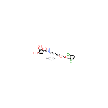 CC(=O)O.OCc1cc([C@@H](O)CNCCCCCCOCCOCc2c(Cl)cccc2Cl)ccc1O